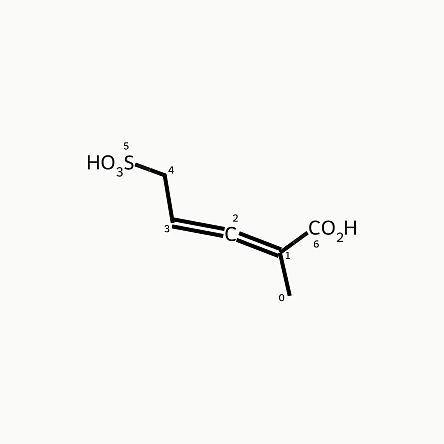 CC(=C=CCS(=O)(=O)O)C(=O)O